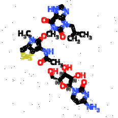 CC(=O)Nc1c2sscc-2n(C)c1=O.CC(C)Cn1c(=O)n(C)c(=O)c2[nH]cnc21.Nc1ccn([C@@H]2O[C@H](CO)[C@@H](O)[C@@H]2O)c(=O)n1